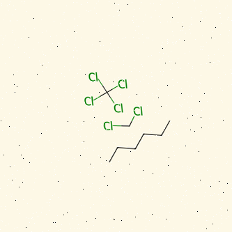 CCCCCC.ClC(Cl)(Cl)Cl.ClCCl